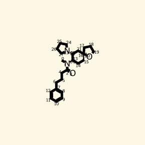 CN(C(=O)CCCc1ccccc1)[C@@H]1CC[C@]2(CCCO2)C[C@H]1N1CCCC1